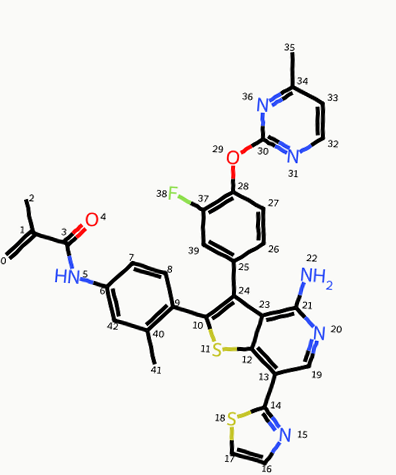 C=C(C)C(=O)Nc1ccc(-c2sc3c(-c4nccs4)cnc(N)c3c2-c2ccc(Oc3nccc(C)n3)c(F)c2)c(C)c1